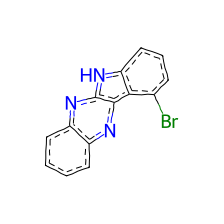 Brc1cccc2[nH]c3nc4ccccc4nc3c12